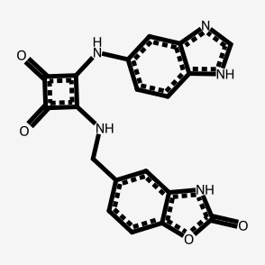 O=c1[nH]c2cc(CNc3c(Nc4ccc5[nH]cnc5c4)c(=O)c3=O)ccc2o1